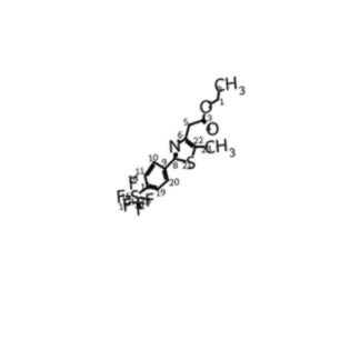 CCOC(=O)Cc1nc(-c2ccc(S(F)(F)(F)(F)F)cc2)sc1C